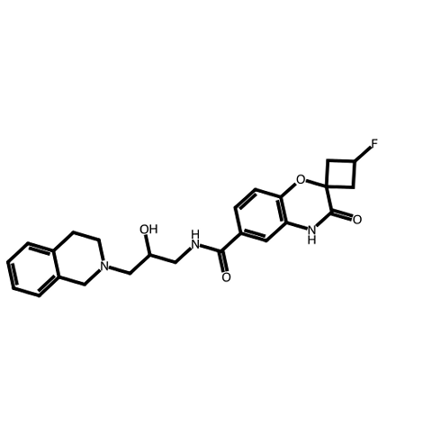 O=C(NCC(O)CN1CCc2ccccc2C1)c1ccc2c(c1)NC(=O)C1(CC(F)C1)O2